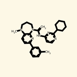 C=C(Nc1ccnc(C2CCCCC2)n1)N1CCCN(C)c2ccc(-c3cccc(C)c3)nc21